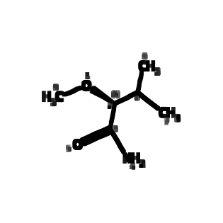 CO[C@H](C(N)=O)C(C)C